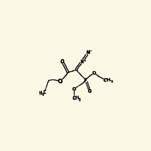 CCOC(=O)C(=[N+]=[N-])P(=O)(OC)OC